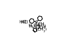 C[Si](C)(P(C1CCCCC1)C1CCCCC1)[Cr]([CH3])([CH3])([CH3])([CH3])[C]1=CC=CC1.Cl.Cl